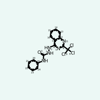 O=C(NNc1nc(C(Cl)(Cl)Cl)nc2ccccc12)Nc1ccccc1